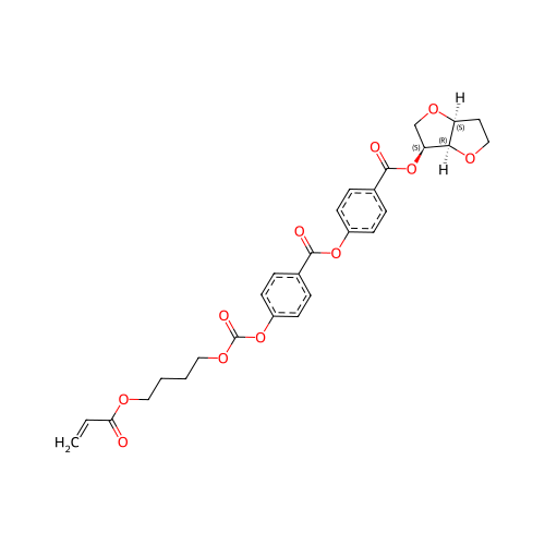 C=CC(=O)OCCCCOC(=O)Oc1ccc(C(=O)Oc2ccc(C(=O)O[C@H]3CO[C@H]4CCO[C@H]43)cc2)cc1